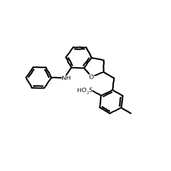 Cc1ccc(S(=O)(=O)O)c(CC2Cc3cccc(Nc4ccccc4)c3O2)c1